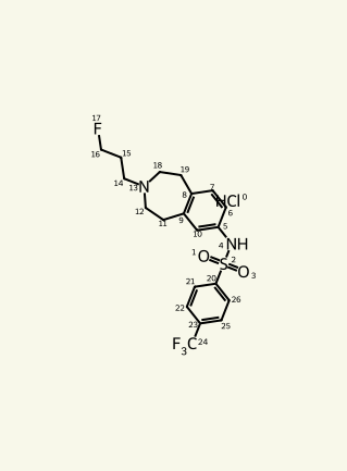 Cl.O=S(=O)(Nc1ccc2c(c1)CCN(CCCF)CC2)c1ccc(C(F)(F)F)cc1